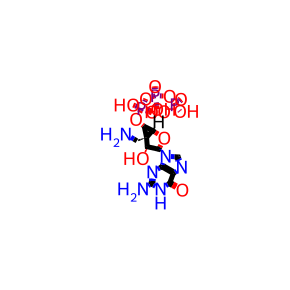 NC[C@]12C(OP(=O)(O)OP(=O)(O)OP(=O)(O)O)[C@H]1O[C@@H](n1cnc3c(=O)[nH]c(N)nc31)[C@@H]2O